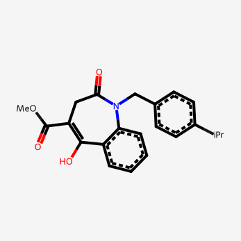 COC(=O)C1=C(O)c2ccccc2N(Cc2ccc(C(C)C)cc2)C(=O)C1